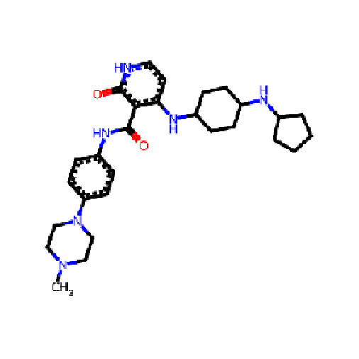 CN1CCN(c2ccc(NC(=O)c3c(NC4CCC(NC5CCCC5)CC4)cc[nH]c3=O)cc2)CC1